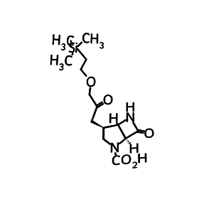 C[Si](C)(C)CCOCC(=O)C[C@@H]1CN(C(=O)O)[C@@H]2C(=O)N[C@H]12